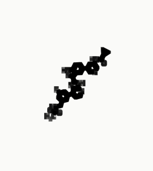 CS(=O)(=O)NCc1cc(F)cc(-c2ccnc3[nH]c(-c4n[nH]c5ccc(-c6cncc(NC(=O)C7CC7)c6)cc45)nc23)c1